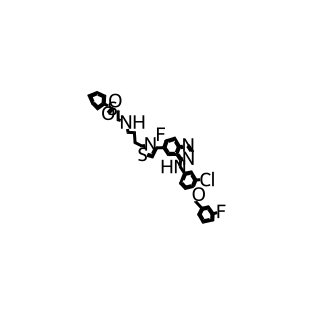 O=S(=O)(CCNCCCc1nc(-c2cc3c(Nc4ccc(OCc5cccc(F)c5)c(Cl)c4)ncnc3cc2F)cs1)c1ccccc1